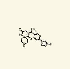 CC(c1ccc(-n2cc(F)cn2)nc1)N1CC(=O)NC2(CCNCC2)C1=O